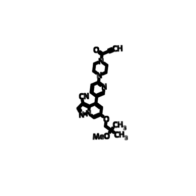 C#CC(=O)N1CCN(c2ccc(-c3cc(OCC(C)(C)OC)cn4ncc(C#N)c34)cn2)CC1